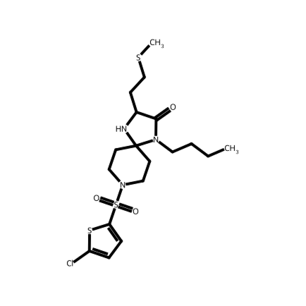 CCCCN1C(=O)C(CCSC)NC12CCN(S(=O)(=O)c1ccc(Cl)s1)CC2